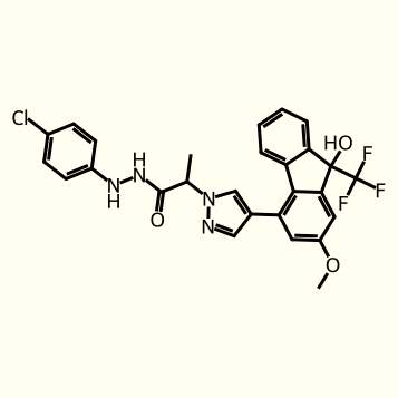 COc1cc(-c2cnn(C(C)C(=O)NNc3ccc(Cl)cc3)c2)c2c(c1)C(O)(C(F)(F)F)c1ccccc1-2